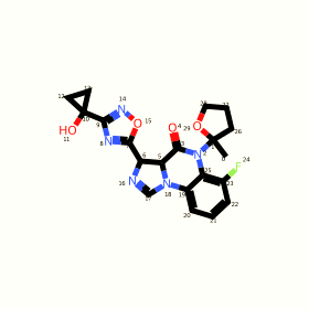 CC1(N2C(=O)C3C(c4nc(C5(O)CC5)no4)N=CN3c3cccc(F)c32)CCCO1